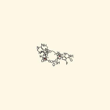 Nc1ncnc2c1ncn2[C@@H]1O[C@@]23CO[C@@H]1[C@@H]2OP(=O)(O)OCC[C@H]1O[C@@H](n2cc(F)c4c(=O)[nH]cnc42)[C@H](OP(=O)(S)OC3)[C@@H]1O